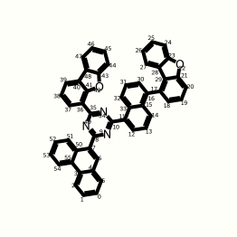 c1ccc2c(c1)cc(-c1nc(-c3cccc4c(-c5cccc6oc7ccccc7c56)cccc34)nc(-c3cccc4c3oc3ccccc34)n1)c1ccccc12